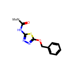 CNC(=O)Nc1nnc(OCc2ccccc2)s1